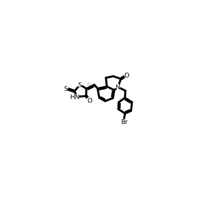 O=C1NC(=S)S/C1=C/c1cccc2c1CCC(=O)N2Cc1ccc(Br)cc1